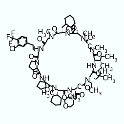 CC[C@H](C)[C@@H]1NC(=O)[C@H](CC(C)C)N(CC)C(=O)C[C@@H](C(=O)N2CCOCC2)N(C)C(=O)[C@H](C2CCCCC2)N(C)C(=O)C2(CCCC2)NC(=O)[C@@H]2CCCN2C(=O)[C@H](CCc2ccc(C(F)(F)F)c(Cl)c2)NC(=O)CN(C)C(=O)[C@H](CC2CCCCC2)N(C)C(=O)CN(C)C(=O)CN(C)C1=O